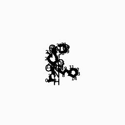 CC(C)C[C@H](NC(=O)CCC1CCCCC1)C(=O)N[C@H]1CC[C@@H](C)N(C(=O)N2CCOCC2)CC1=O